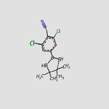 CC1(C)BB(c2cc(Cl)c(C#N)c(Cl)c2)BC1(C)C